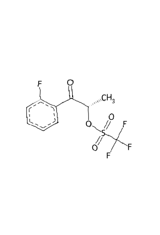 C[C@H](OS(=O)(=O)C(F)(F)F)C(=O)c1ccccc1F